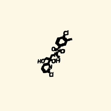 Cc1cc(S(=O)(=O)N(C)CC(O)(CO)c2cccc(Cl)n2)ccc1Cl